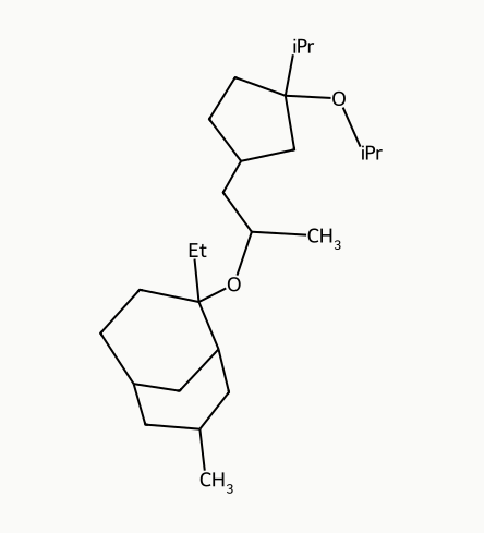 CCC1(OC(C)CC2CCC(OC(C)C)(C(C)C)C2)CCC2CC(C)CC1C2